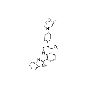 COc1c(-c2ccc(N3C[C@@H](C)O[C@@H](C)C3)cc2)cnc2c(-c3nc4ccccc4[nH]3)cccc12